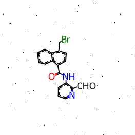 O=[C]c1ncccc1NC(=O)c1ccc(CBr)c2ccccc12